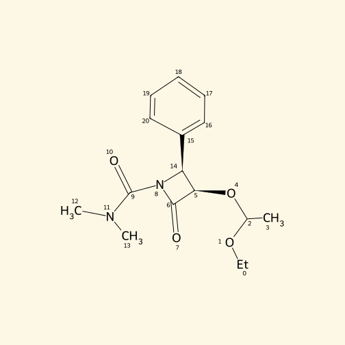 CCOC(C)O[C@H]1C(=O)N(C(=O)N(C)C)[C@H]1c1ccccc1